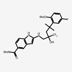 CNC(=O)c1ccc2[nH]c(NCC(O)(CC(C)(C)c3cc(F)ccc3OC)C(F)(F)F)cc2c1